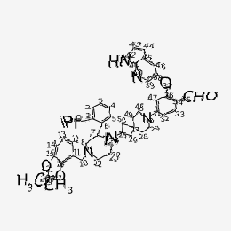 CC(C)c1ccccc1C1CN(Cc2cccc3c2OC(C)(C)O3)CCN1C1CC2(CCN(c3ccc(C=O)c(Oc4cnc5[nH]ccc5c4)c3)CC2)C1